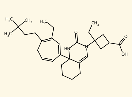 CCC1=C(CCC(C)(C)C)CC=CC(C23CCCCC2=CN(C2(CC)CC(C(=O)O)C2)C(=O)N3)=C1